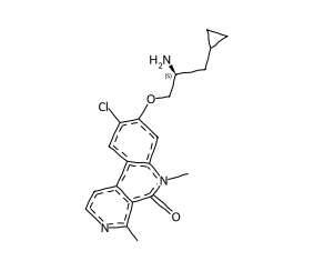 Cc1nccc2c1c(=O)n(C)c1cc(OC[C@@H](N)CC3CC3)c(Cl)cc21